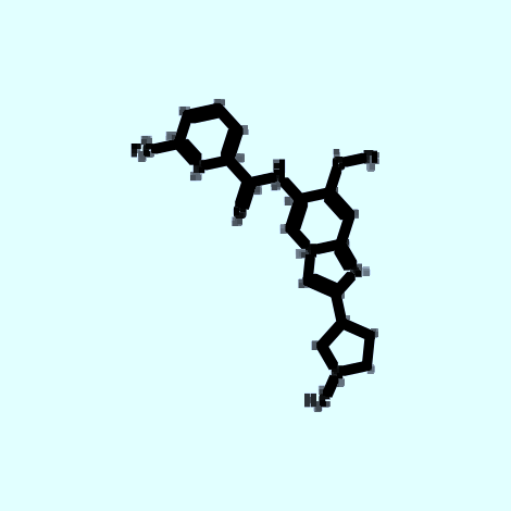 CCOc1cc2nc(C3CCN(C)C3)cn2cc1NC(=O)c1cccc(C(F)(F)F)n1